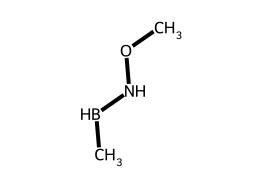 CBNOC